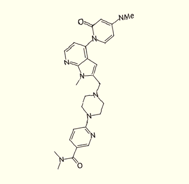 CNc1ccn(-c2ccnc3c2cc(CN2CCN(c4ccc(C(=O)N(C)C)cn4)CC2)n3C)c(=O)c1